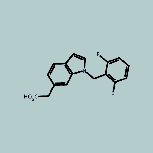 O=C(O)Cc1ccc2ccn(Cc3c(F)cccc3F)c2c1